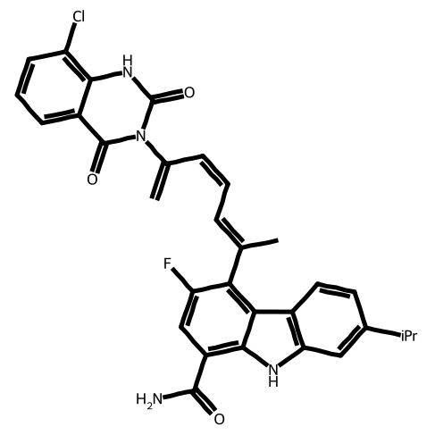 C=C(/C=C\C=C(/C)c1c(F)cc(C(N)=O)c2[nH]c3cc(C(C)C)ccc3c12)n1c(=O)[nH]c2c(Cl)cccc2c1=O